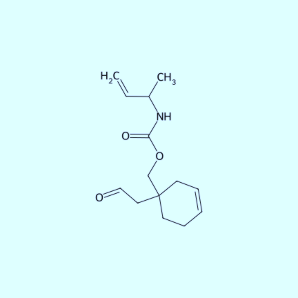 C=CC(C)NC(=O)OCC1(CC=O)CC=CCC1